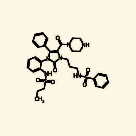 CCCS(=O)(=O)Nc1ccccc1-n1c(-c2ccccc2)c(C(=O)N2CCNCC2)n(CCCNS(=O)(=O)c2ccccc2)c1=O